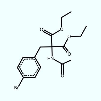 CCOC(=O)C(Cc1ccc(Br)cc1)(NC(C)=O)C(=O)OCC